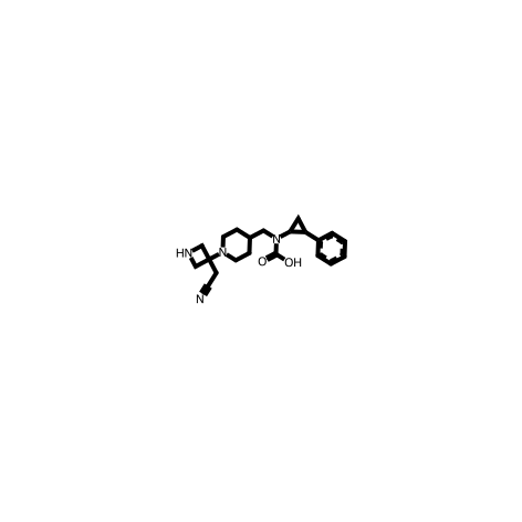 N#CCC1(N2CCC(CN(C(=O)O)C3CC3c3ccccc3)CC2)CNC1